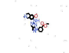 CCOC(=O)C1CCCC(n2ncc3cnc(Nc4cc5c(cc4OC)CCN(C)C5)nc32)C1